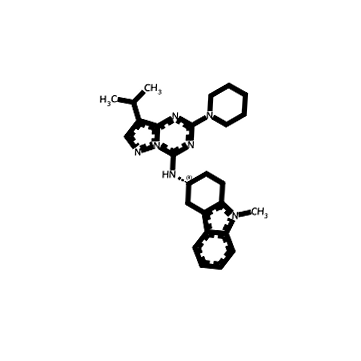 CC(C)c1cnn2c(N[C@@H]3CCc4c(c5ccccc5n4C)C3)nc(N3CCCCC3)nc12